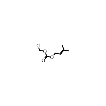 CC(C)=CCOC(=O)OCCl